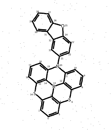 c1cc2c3c(c1)Sc1cccc4c1B3c1c(cccc1N4c1ccc3oc4ccccc4c3c1)S2